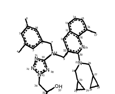 Cc1cc(C)cc(CN(Cc2cc3cccc(C)c3nc2N(CC2CC2)CC2CC2)c2nnn(CC(C)O)n2)c1